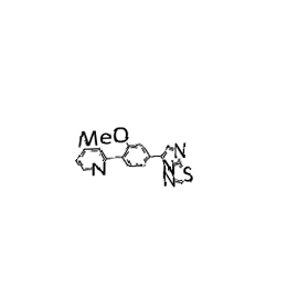 COc1cc(-c2cnc3scnn23)ccc1-c1ccccn1